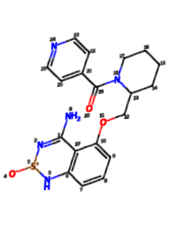 NC1=N[S+]([O-])Nc2cccc(OCC3CCCCN3C(=O)c3ccncc3)c21